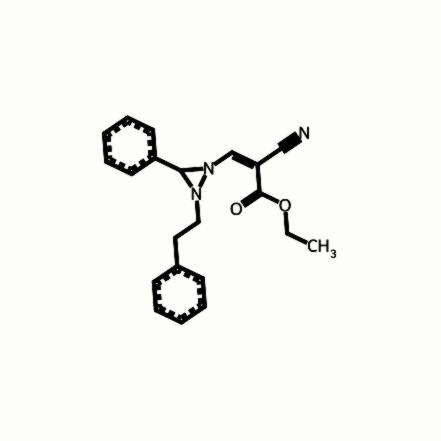 CCOC(=O)C(C#N)=CN1C(c2ccccc2)N1CCc1ccccc1